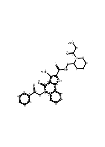 COc1c(C(=O)NCC2CCCCN2C(=O)COC(C)=O)sc2c1c(=O)n(CC(=O)c1ccccc1)c1ccccc21